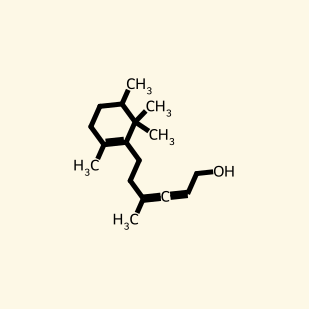 CC(=C=CCO)CCC1=C(C)CCC(C)C1(C)C